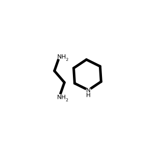 C1CCNCC1.NCCN